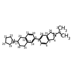 CC(C)N1Cc2ccc(-c3ccc4c(c3)CCC(N3CCCC3)C4)cc2C1